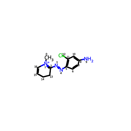 C[N+]1=C(N=Nc2ccc(N)cc2Cl)CCC=C1